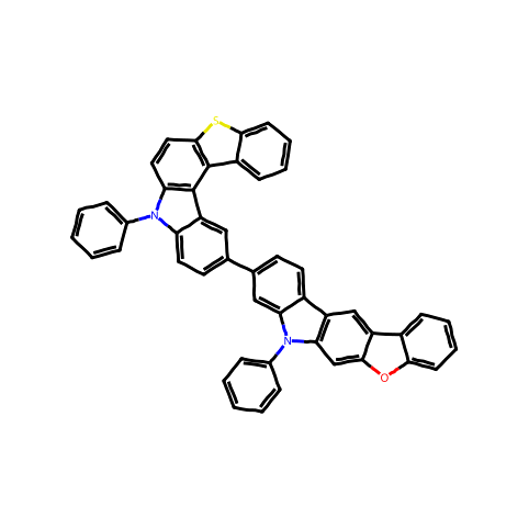 c1ccc(-n2c3cc(-c4ccc5c(c4)c4c6c(ccc4n5-c4ccccc4)sc4ccccc46)ccc3c3cc4c(cc32)oc2ccccc24)cc1